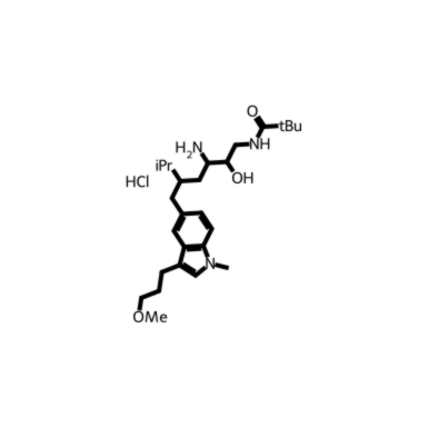 COCCCc1cn(C)c2ccc(CC(CC(N)C(O)CNC(=O)C(C)(C)C)C(C)C)cc12.Cl